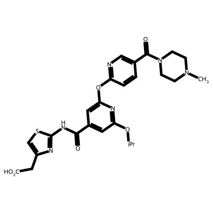 CC(C)Oc1cc(C(=O)Nc2nc(CC(=O)O)cs2)cc(Oc2ccc(C(=O)N3CCN(C)CC3)cn2)n1